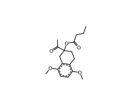 CCCC(=O)OC1(C(C)=O)CCc2c(OC)ccc(OC)c2C1